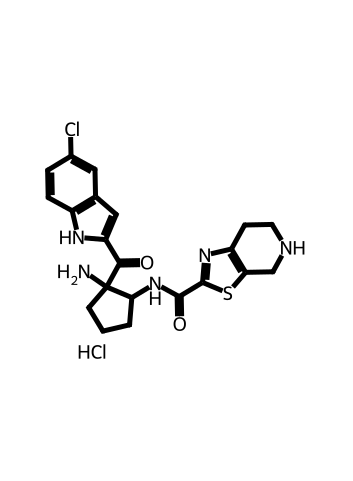 Cl.NC1(C(=O)c2cc3cc(Cl)ccc3[nH]2)CCCC1NC(=O)c1nc2c(s1)CNCC2